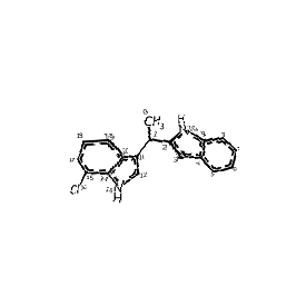 CC(c1cc2ccccc2[nH]1)c1c[nH]c2c(Cl)cccc12